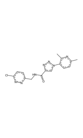 Cc1ccc(-n2cc(C(=O)NCc3ccc(Cl)nn3)nn2)c(C)n1